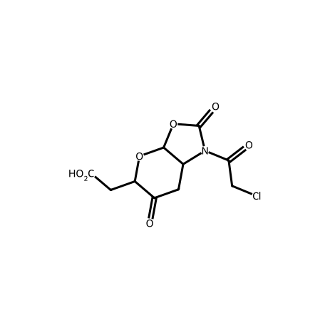 O=C(O)CC1OC2OC(=O)N(C(=O)CCl)C2CC1=O